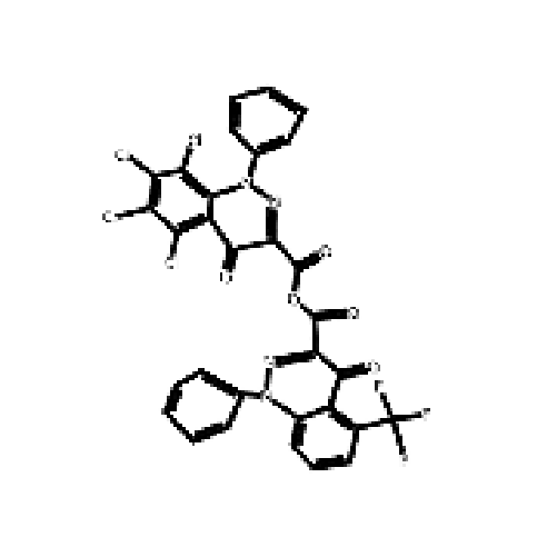 O=C(OC(=O)c1nn(-c2ccccc2)c2c(Cl)c(Cl)c(Cl)c(Cl)c2c1=O)c1nn(-c2ccccc2)c2cccc(C(F)(F)F)c2c1=O